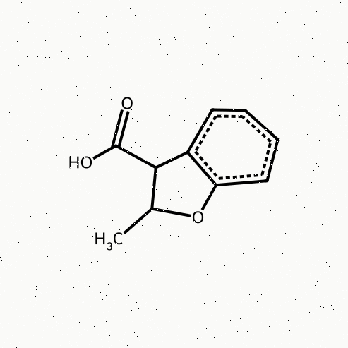 CC1Oc2ccccc2C1C(=O)O